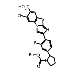 CC(C)(C)OC(=O)N1CCCC1c1ccc(-c2cn3c(n2)sc2cc(C(=O)O)c(Cl)cc23)c(F)c1